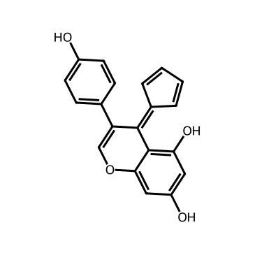 Oc1ccc(C2=COc3cc(O)cc(O)c3C2=C2C=CC=C2)cc1